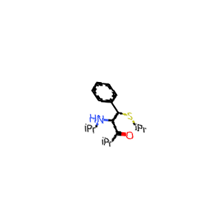 CC(C)NC(C(=O)C(C)C)C(SC(C)C)c1ccccc1